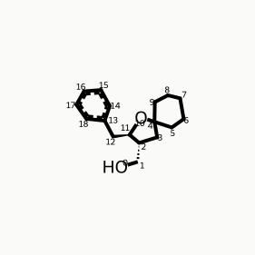 OC[C@H]1CC2(CCCCC2)O[C@@H]1Cc1ccccc1